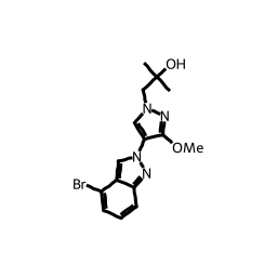 COc1nn(CC(C)(C)O)cc1-n1cc2c(Br)cccc2n1